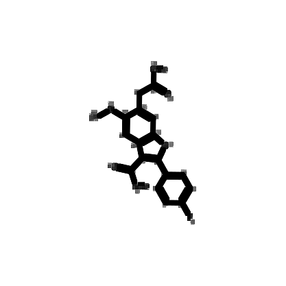 CNC(=O)c1c(-c2ccc(F)cc2)oc2cc(CC(=O)OC)c(OC(C)C)cc12